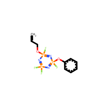 C=CCOP1(F)=NP(F)(Oc2ccccc2)=NP(F)(F)=N1